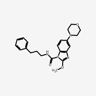 COc1nc2cc(N3CCOCC3)ccc2n1C(=O)NCCCc1ccccc1